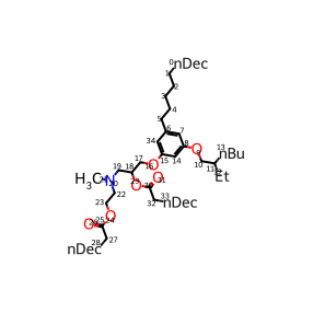 CCCCCCCCCCCCCCCc1cc(OCC(CC)CCCC)cc(OCC(CN(C)CCOC(=O)CCCCCCCCCCC)OC(=O)CCCCCCCCCCC)c1